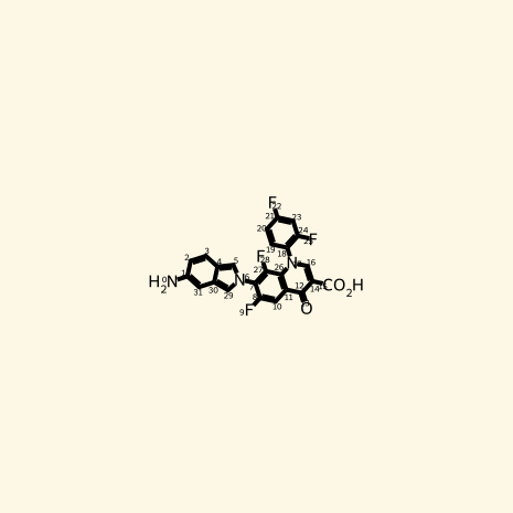 Nc1ccc2cn(-c3c(F)cc4c(=O)c(C(=O)O)cn(-c5ccc(F)cc5F)c4c3F)cc2c1